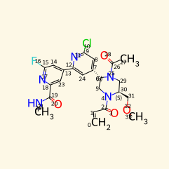 C=CC(=O)N1C[C@H](c2cc(Cl)nc(-c3cc(F)nc(C(=O)NC)c3)c2)N(C(C)=O)C[C@H]1COC